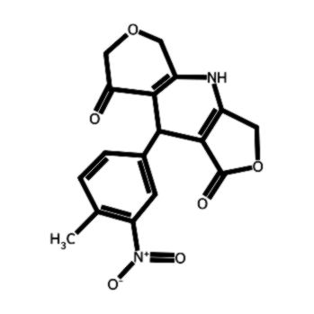 Cc1ccc(C2C3=C(COCC3=O)NC3=C2C(=O)OC3)cc1[N+](=O)[O-]